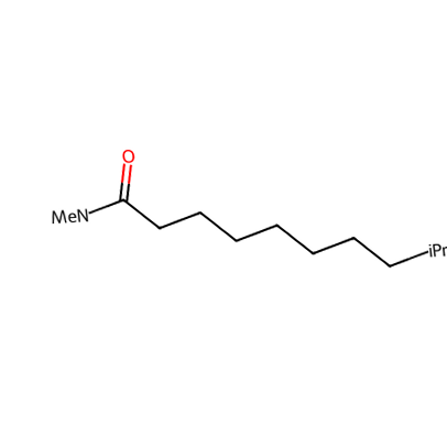 [CH2]NC(=O)CCCCCCCC(C)C